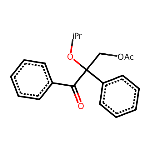 CC(=O)OCC(OC(C)C)(C(=O)c1ccccc1)c1ccccc1